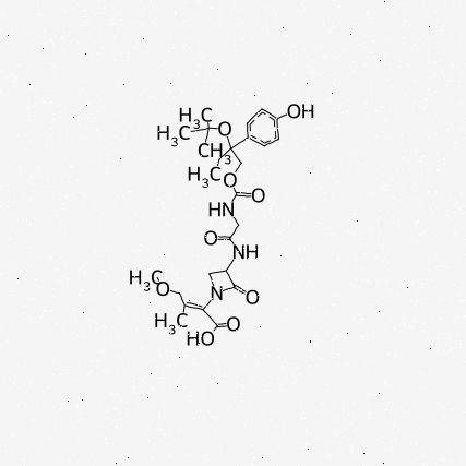 CCC(COC(=O)NCC(=O)NC1CN(C(C(=O)O)=C(C)COC)C1=O)(OC(C)(C)C)c1ccc(O)cc1